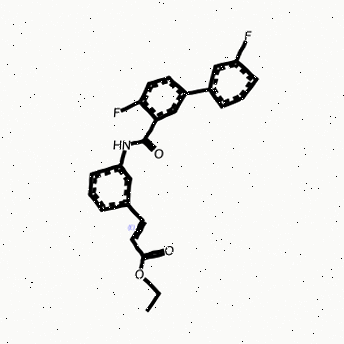 CCOC(=O)/C=C/c1cccc(NC(=O)c2cc(-c3cccc(F)c3)ccc2F)c1